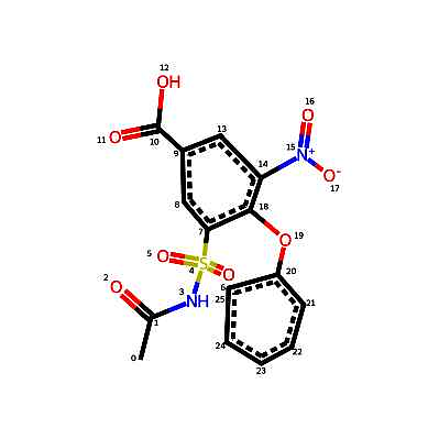 CC(=O)NS(=O)(=O)c1cc(C(=O)O)cc([N+](=O)[O-])c1Oc1ccccc1